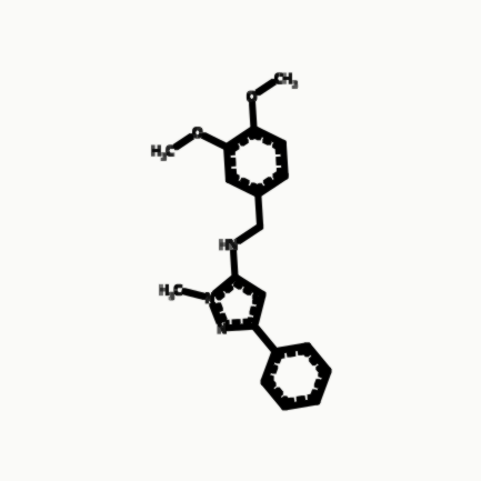 COc1ccc(CNc2cc(-c3ccccc3)nn2C)cc1OC